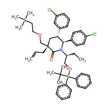 C=CC[C@@]1(COCC[Si](C)(C)C)C[C@H](c2cccc(Cl)c2)[C@@H](c2ccc(Cl)cc2)N([C@@H](CC)CO[Si](c2ccccc2)(c2ccccc2)C(C)(C)C)C1=O